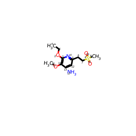 CCOc1nc(CCS(C)(=O)=O)ccc1OC.N